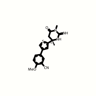 COc1ccc(-c2csc([C@]3(C)CC(=O)N(C)C(=N)N3)c2)cc1C#N